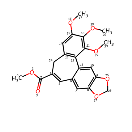 COC(=O)C1=Cc2cc3c(cc2-c2c(cc(OC)c(OC)c2OC)C1)OCO3